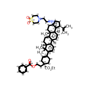 C=C(C)[C@@H]1CC[C@]2(NCCN3CCS(=O)(=O)CC3)CC[C@]3(C)[C@H](CC[C@@H]4[C@@]5(C)CC=C(C6=CC[C@@](CCOC(=O)c7ccccc7)(C(=O)OCC)CC6)C(C)(C)[C@@H]5CC[C@]43C)[C@@H]12